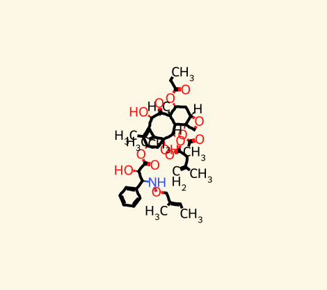 C=C(C)CC(=O)O[C@H]1[C@@H]2[C@]3(OC(C)=O)CO[C@@H]3C[C@H](OC(=O)CC)[C@@]2(C)C(=O)[C@H](O)C2=C(C)[C@@H](OC(=O)[C@H](O)[C@@H](NOC/C(C)=C/C)c3ccccc3)C[C@]1(O)C2(C)C